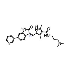 Cc1[nH]c(/C=C2\C(=O)Nc3cc(-c4cccnc4)ccc32)c(C)c1C(=O)NCCCN(C)C